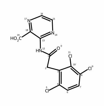 O=C(Cc1c(Cl)ccc(Cl)c1Cl)Nc1nccnc1C(=O)O